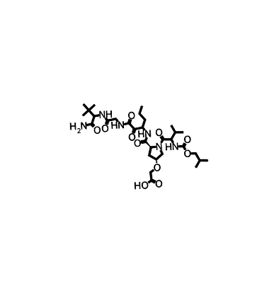 CCCC(NC(=O)[C@@H]1C[C@@H](OCC(=O)O)CN1C(=O)C(NC(=O)OCC(C)C)C(C)C)C(=O)C(=O)NCC(=O)NC(C(N)=O)C(C)(C)C